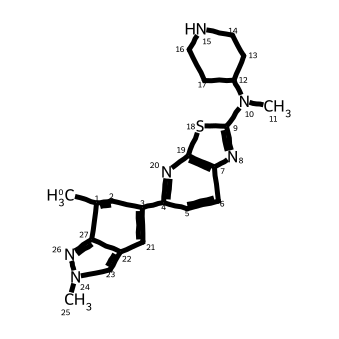 Cc1cc(-c2ccc3nc(N(C)C4CCNCC4)sc3n2)cc2cn(C)nc12